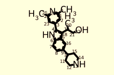 Cc1cc(-c2[nH]c3ccc(C4CCNCC4)cc3c2C(C)CO)cc(C)n1